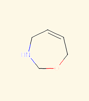 [C]1=CCNCOC1